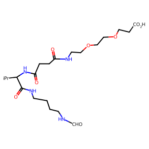 CC(C)C(NC(=O)CCC(=O)NCCOCCOCCC(=O)O)C(=O)NCCCCNC=O